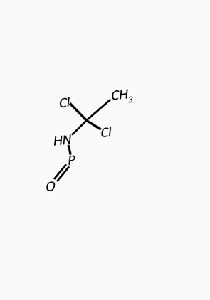 CC(Cl)(Cl)NP=O